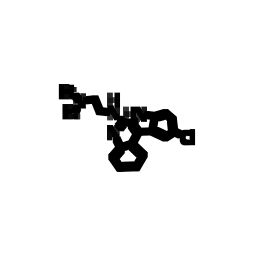 CCN(CC)CCNc1nc2ccccc2c2c1[nH]c1ccc(Cl)cc12